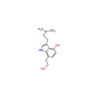 CN(C)CCc1c[nH]c2c(CCO)ccc(O)c12